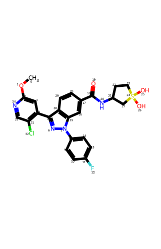 COc1cc(-c2nn(-c3ccc(F)cc3)c3cc(C(=O)NC4CCS(O)(O)C4)ccc23)c(Cl)cn1